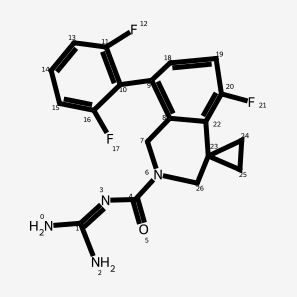 NC(N)=NC(=O)N1Cc2c(-c3c(F)cccc3F)ccc(F)c2C2(CC2)C1